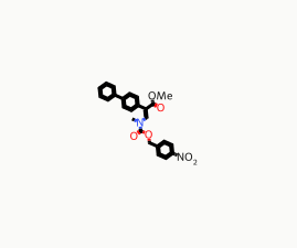 COC(=O)C(=CN(C)C(=O)OCc1ccc([N+](=O)[O-])cc1)c1ccc(-c2ccccc2)cc1